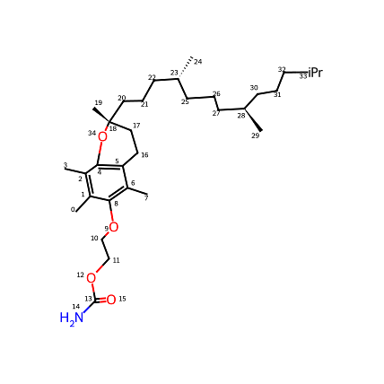 Cc1c(C)c2c(c(C)c1OCCOC(N)=O)CC[C@@](C)(CCC[C@H](C)CCC[C@H](C)CCCC(C)C)O2